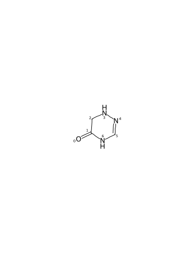 O=C1CNN=CN1